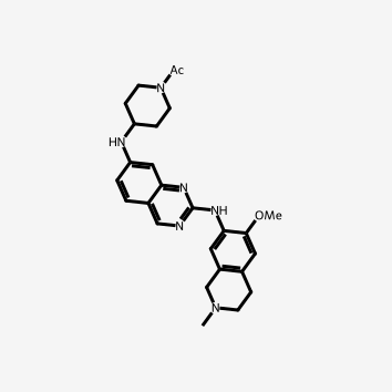 COc1cc2c(cc1Nc1ncc3ccc(NC4CCN(C(C)=O)CC4)cc3n1)CN(C)CC2